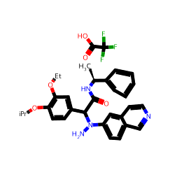 CCOc1cc(C(C(=O)N[C@@H](C)c2ccccc2)N(N)c2ccc3cnccc3c2)ccc1OC(C)C.O=C(O)C(F)(F)F